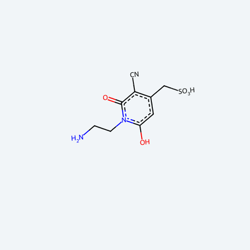 N#Cc1c(CS(=O)(=O)O)cc(O)n(CCN)c1=O